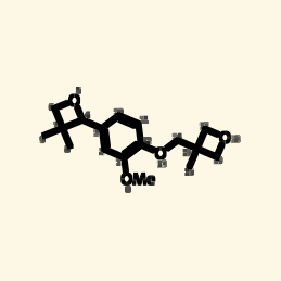 COc1cc(C2OCC2(C)C)ccc1OCC1(C)COC1